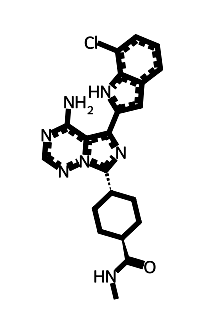 CNC(=O)[C@H]1CC[C@H](c2nc(-c3cc4cccc(Cl)c4[nH]3)c3c(N)ncnn32)CC1